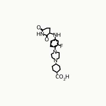 O=C1CCC(Nc2ccc(N3CCN([C@H]4CC[C@H](C(=O)O)CC4)CC3)c(F)c2)C(=O)N1